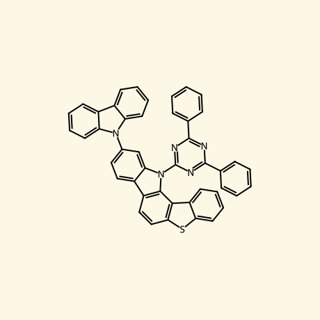 c1ccc(-c2nc(-c3ccccc3)nc(-n3c4cc(-n5c6ccccc6c6ccccc65)ccc4c4ccc5sc6ccccc6c5c43)n2)cc1